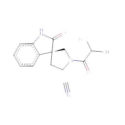 CC(C)C(=O)N1C[C@]2(C[C@H]1C#N)C(=O)Nc1ccccc12